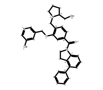 N#Cc1cncc(COc2cc(C(=O)N3CCc4c(-c5ccccc5)cccc43)ccc2CN2CCCC2CO)c1